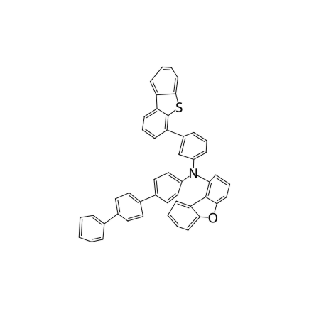 c1ccc(-c2ccc(-c3ccc(N(c4cccc(-c5cccc6c5sc5ccccc56)c4)c4cccc5oc6ccccc6c45)cc3)cc2)cc1